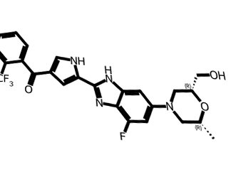 C[C@@H]1CN(c2cc(F)c3nc(-c4cc(C(=O)c5ccccc5C(F)(F)F)c[nH]4)[nH]c3c2)C[C@H](CO)O1